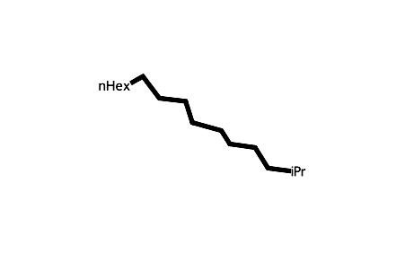 CCCCCCCCCCCCCCC(C)C